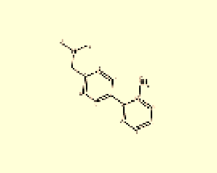 CN(C)Cc1ccc(-c2cc[c]cc2N)cc1